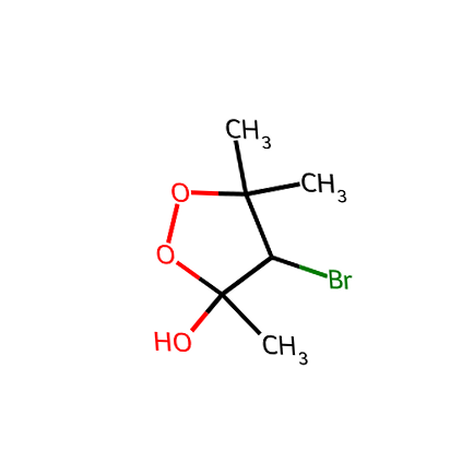 CC1(C)OOC(C)(O)C1Br